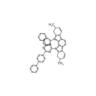 CC1C=Cc2c(n(-c3ccccc3)c3c2ccc2c4c(n(-c5nc(-c6ccccc6)nc(-c6ccc(-c7ccccc7)cc6)n5)c23)CC(C)C=C4)C1